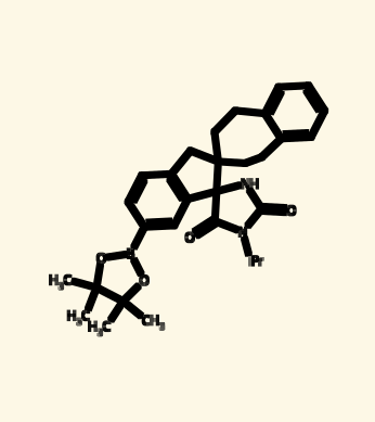 CC(C)N1C(=O)NC2(C1=O)c1cc(B3OC(C)(C)C(C)(C)O3)ccc1CC21CCc2ccccc2CC1